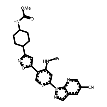 COC(=O)NC1CCC(c2cc(-c3cnc(-n4ncc5cc(C#N)cnc54)cc3NC(C)C)on2)CC1